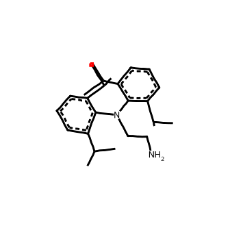 CC(C)c1cccc(C(C)C)c1N(CCN)c1c(C(C)C)cccc1C(C)C